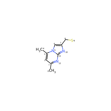 Cc1cc(C)n2cc(C[S])nc2n1